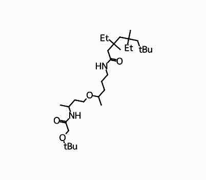 CCC(C)(CC(=O)NCCCC(C)OCCC(C)NC(=O)COC(C)(C)C)CC(C)(CC)CC(C)(C)C